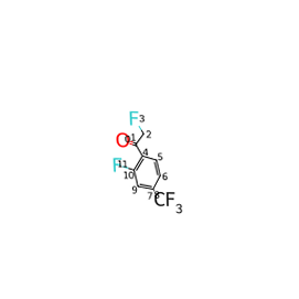 O=C(CF)c1ccc(C(F)(F)F)cc1F